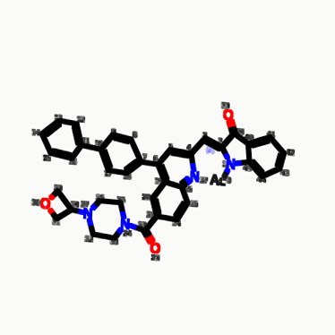 CC(=O)N1/C(=C\c2cc(-c3ccc(-c4ccccc4)cc3)c3cc(C(=O)N4CCN(C5COC5)CC4)ccc3n2)C(=O)c2ccccc21